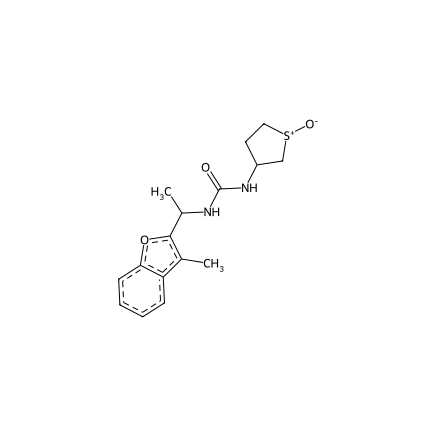 Cc1c(C(C)NC(=O)NC2CC[S+]([O-])C2)oc2ccccc12